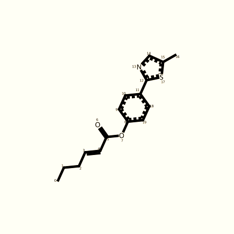 CCC/C=C/C(=O)Oc1ccc(-c2ncc(C)s2)cc1